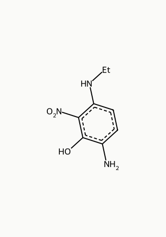 CCNc1ccc(N)c(O)c1[N+](=O)[O-]